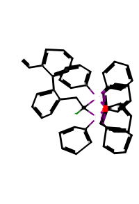 C=Cc1ccccc1-c1ccccc1CC(Cl)([PH](c1ccccc1)(c1ccccc1)c1ccccc1)[PH](c1ccccc1)(c1ccccc1)c1ccccc1